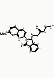 COc1ccc2ccc(N3C(=O)c4ccccc4C3OCC(=O)CCC(C)C)nc2n1